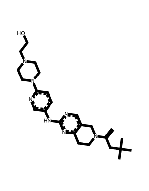 C=C(CC(C)(C)C)N1CCc2nc(Nc3ccc(N4CCN(CCO)CC4)nc3)ncc2C1